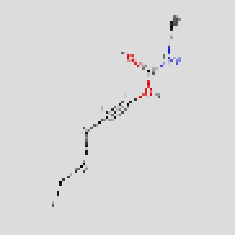 CCCCC#COC(=O)NC